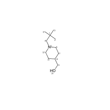 CC(C)(C)CN1CCC(CO)CC1